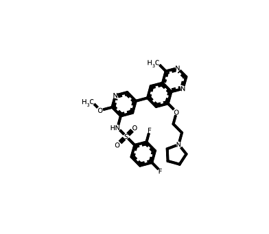 COc1ncc(-c2cc(OCCN3CCCC3)c3ncnc(C)c3c2)cc1NS(=O)(=O)c1ccc(F)cc1F